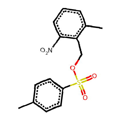 Cc1ccc(S(=O)(=O)OCc2c(C)cccc2[N+](=O)[O-])cc1